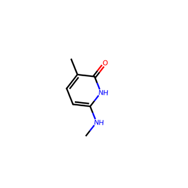 CNc1ccc(C)c(=O)[nH]1